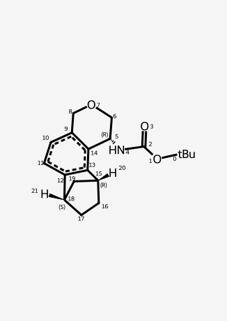 CC(C)(C)OC(=O)N[C@H]1COCc2ccc3c(c21)[C@@H]1CC[C@H]3C1